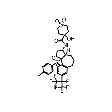 O=C(N[C@@H]1CC[C@@]2(S(=O)(=O)c3ccc(F)cc3)c3ccc(C(F)(C(F)(F)F)C(F)(F)F)cc3CCC[C@@H]12)C1(O)CCS(=O)(=O)CC1